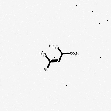 CCC(N)=CC(C(=O)O)C(=O)O